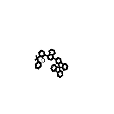 CC1(C)c2ccccc2Oc2c(-c3ccc(-c4ccc5c(c4)C4(c6ccccc6-c6ccccc64)c4ccccc4-5)c4ccccc34)cccc21